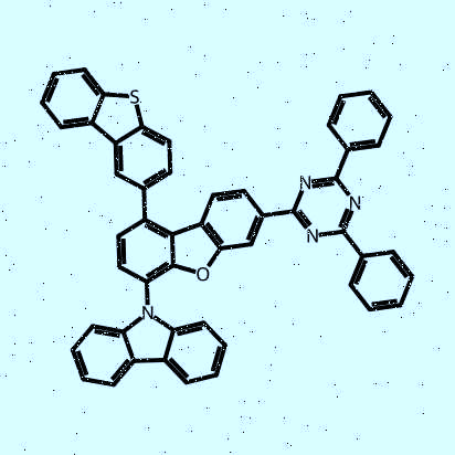 c1ccc(-c2nc(-c3ccccc3)nc(-c3ccc4c(c3)oc3c(-n5c6ccccc6c6ccccc65)ccc(-c5ccc6sc7ccccc7c6c5)c34)n2)cc1